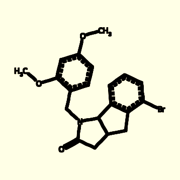 COc1ccc(CN2C(=O)CC3Cc4c(Br)cccc4C32)c(OC)c1